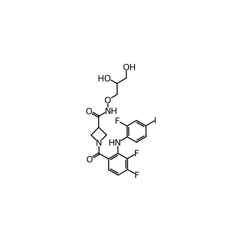 O=C(NOCC(O)CO)C1CN(C(=O)c2ccc(F)c(F)c2Nc2ccc(I)cc2F)C1